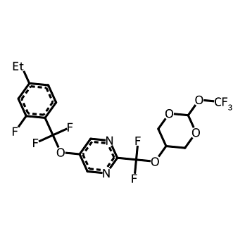 CCc1ccc(C(F)(F)Oc2cnc(C(F)(F)OC3COC(OC(F)(F)F)OC3)nc2)c(F)c1